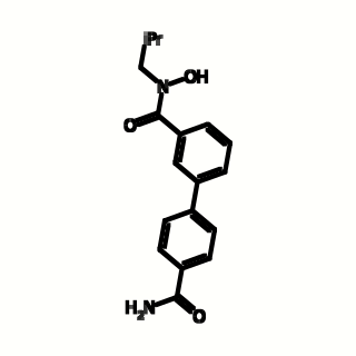 CC(C)CN(O)C(=O)c1cccc(-c2ccc(C(N)=O)cc2)c1